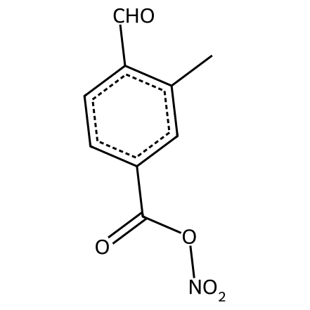 Cc1cc(C(=O)O[N+](=O)[O-])ccc1C=O